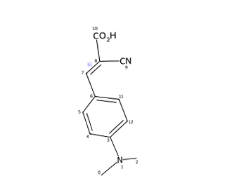 CN(C)c1ccc(/C=C(\C#N)C(=O)O)cc1